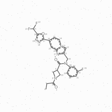 CCC(=O)N1CC(C(=O)N(Cc2cn3ccc(-c4nnc(C(F)F)o4)cc3n2)c2cccc(F)c2)C1